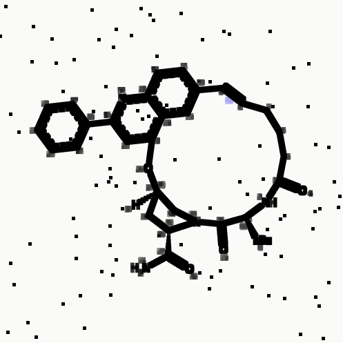 CCCC[C@@H]1NC(=O)CCC/C=C/c2ccc3nc(-c4ccccc4)cc(c3c2)O[C@@H]2C[C@@H](C(N)=O)N(C2)C1=O